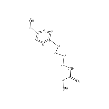 CC(C)(C)OC(=O)NCCCCc1ccc(CO)cc1